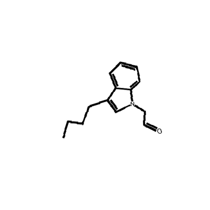 CCCCc1cn(CC=O)c2ccccc12